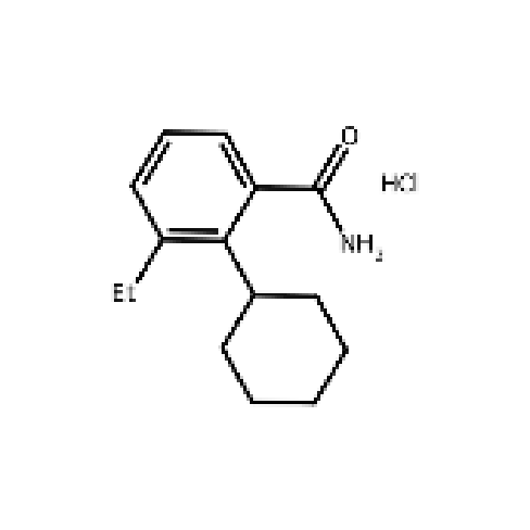 CCc1cccc(C(N)=O)c1C1CCCCC1.Cl